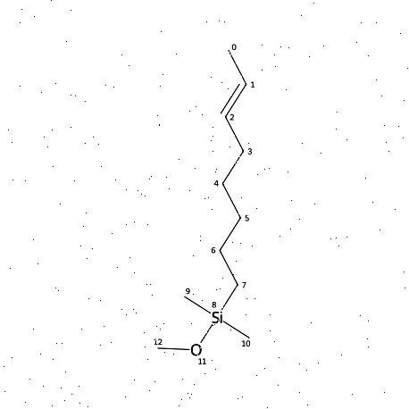 CC=CCCCCC[Si](C)(C)OC